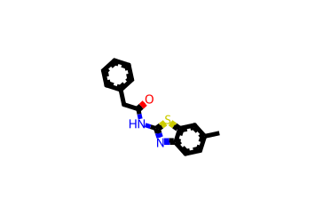 Cc1ccc2nc(NC(=O)Cc3ccccc3)sc2c1